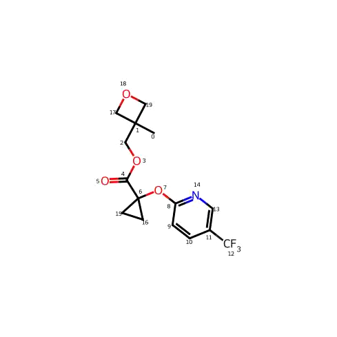 CC1(COC(=O)C2(Oc3ccc(C(F)(F)F)cn3)CC2)COC1